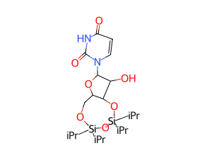 CC(C)[Si]1(C(C)C)OCC2OC(n3ccc(=O)[nH]c3=O)C(O)C2O[Si](C(C)C)(C(C)C)O1